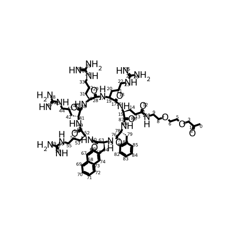 CC(=O)COCCOCCNC(=O)CC[C@@H]1NC(=O)C(CCCNC(=N)N)NC(=O)[C@H](CCCNC(=N)N)NC(=O)[C@@H](CCCNC(=N)N)NC(=O)[C@H](CCCNC(=N)N)NC(=O)[C@H](Cc2ccc3ccccc3c2)NC(=O)[C@@H](Cc2ccccc2)NC1=O